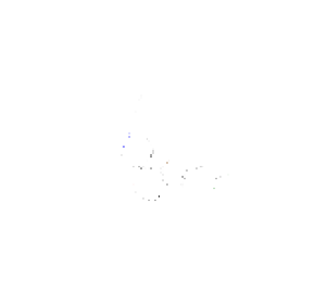 COCCN1CC[C@]2(C[C@@H]1C)OCCc1cc(CC(F)F)sc12